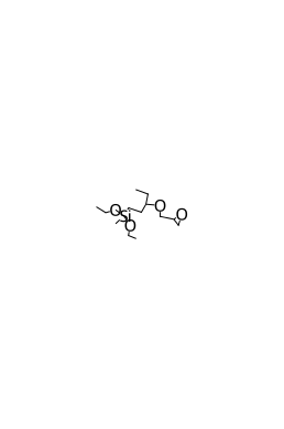 CCO[Si](C)(CCC(CC)OCC1CO1)OCC